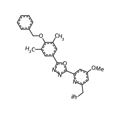 COc1cc(CC(C)C)nc(-c2nnc(-c3cc(C)c(OCc4ccccc4)c(C)c3)o2)c1